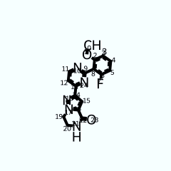 COc1cccc(F)c1-c1nccc(-c2cc3n(n2)CCNC3=O)n1